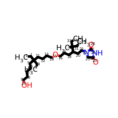 CCC(CC)(CCCCCO)CCCCOCCCC(CCN1CC(=O)NC1=O)C(C)(CC)CC